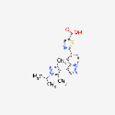 Cc1nn(C(C)C)c(C)c1-c1cnn2ccc(-c3ncc(C(=O)O)s3)cc12